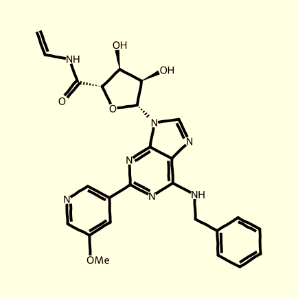 C=CNC(=O)[C@H]1O[C@@H](n2cnc3c(NCc4ccccc4)nc(-c4cncc(OC)c4)nc32)[C@H](O)[C@@H]1O